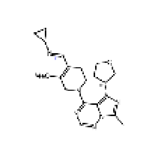 COC1=C(/C=N/C2CC2)CCN(c2ncnn3c(C)nc([C@@H]4CCOC4)c23)C1